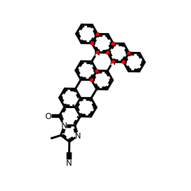 Cc1c(C#N)nc2c3ccc(-c4ccc(N(c5ccccc5)c5ccccc5)cc4)c4c(-c5ccc(N(c6ccccc6)c6ccccc6)cc5)ccc(c(=O)n12)c43